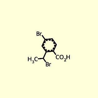 CC(Br)c1cc(Br)ccc1C(=O)O